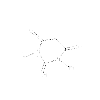 C=C1N(CC)C(=O)CC(=O)N1CC